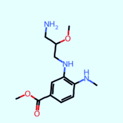 CNc1ccc(C(=O)OC)cc1NCC(CN)OC